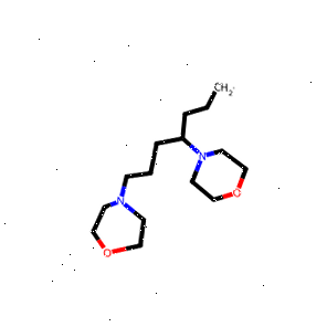 [CH2]CCC(CCCN1CCOCC1)N1CCOCC1